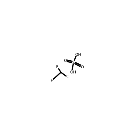 FC(F)F.O=S(=O)(O)O